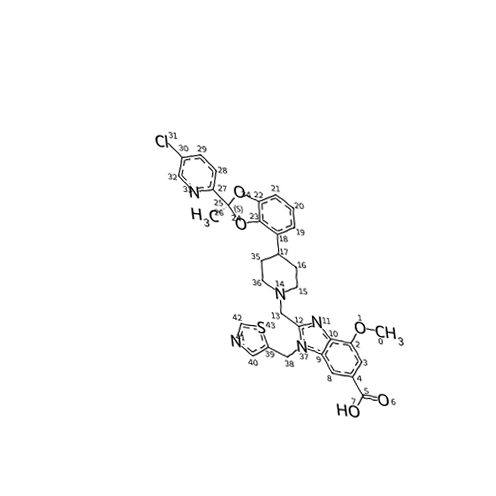 COc1cc(C(=O)O)cc2c1nc(CN1CCC(c3cccc4c3O[C@@](C)(c3ccc(Cl)cn3)O4)CC1)n2Cc1cncs1